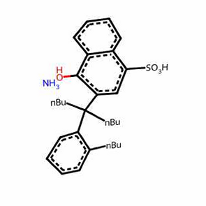 CCCCc1ccccc1C(CCCC)(CCCC)c1cc(S(=O)(=O)O)c2ccccc2c1O.N